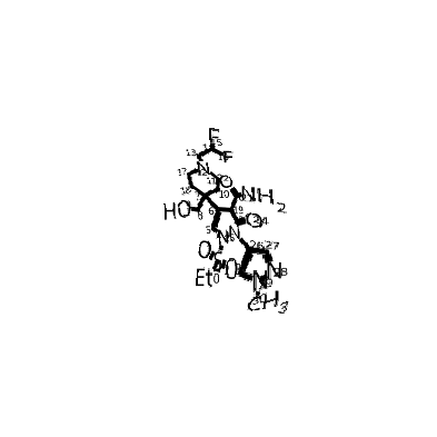 CCS(=O)(=O)N1C=C(C2(CO)CCN(CC(F)F)CC2)C(C(N)=O)C(=O)N1c1cnn(C)c1